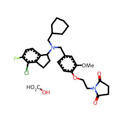 COc1cc(CN(CC2CCCCC2)C2CCc3c2ccc(F)c3Cl)ccc1OCCN1C(=O)CCC1=O.O=C(O)O